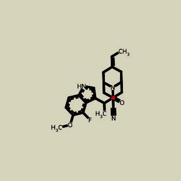 CC=C1CC2CC(C#N)CC(C1)N2C(=O)C(C)c1c[nH]c2ccc(OC)c(F)c12